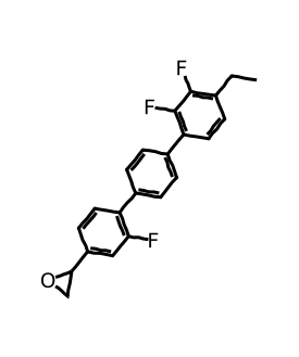 CCc1ccc(-c2ccc(-c3ccc(C4CO4)cc3F)cc2)c(F)c1F